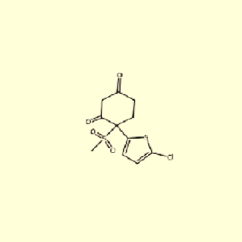 CS(=O)(=O)C1(c2ccc(Cl)s2)CCC(=O)CC1=O